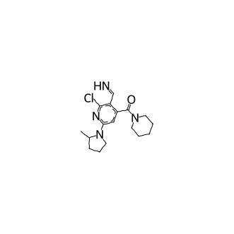 CC1CCCN1c1cc(C(=O)N2CCCCC2)c(C=N)c(Cl)n1